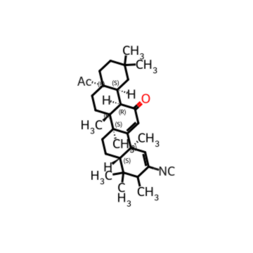 [C-]#[N+]C1=C[C@]2(C)C3=CC(=O)[C@@H]4[C@@H]5CC(C)(C)CC[C@]5(C(C)=O)CC[C@@]4(C)[C@]3(C)CC[C@H]2C(C)(C)C1C